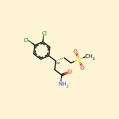 CS(=O)(=O)CC[C@H](CC(N)=O)c1ccc(Cl)c(Cl)c1